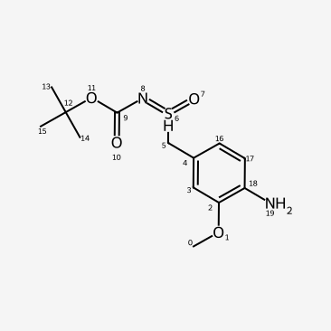 COc1cc(C/[SH](=O)=N\C(=O)OC(C)(C)C)ccc1N